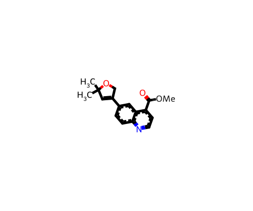 COC(=O)c1ccnc2ccc(C3=CC(C)(C)OC3)cc12